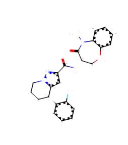 CN1C(=O)[C@@H](NC(=O)c2cc3n(n2)CCC[C@@H]3c2ccccc2F)COc2ccccc21